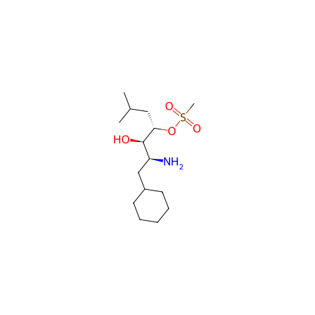 CC(C)C[C@H](OS(C)(=O)=O)[C@H](O)[C@@H](N)CC1CCCCC1